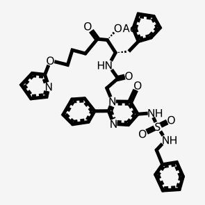 CC(=O)O[C@@H](C(=O)CCCOc1ccccn1)[C@H](Cc1ccccc1)NC(=O)Cn1c(-c2ccccc2)ncc(NS(=O)(=O)NCc2ccccc2)c1=O